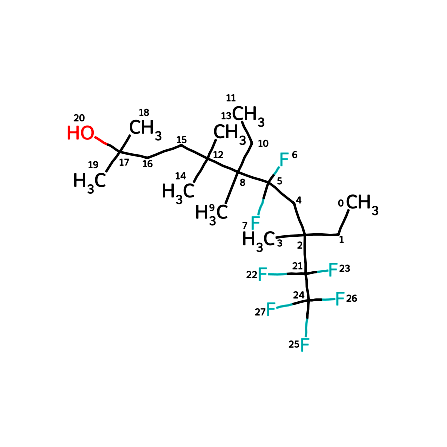 CCC(C)(CC(F)(F)C(C)(CC)C(C)(C)CCC(C)(C)O)C(F)(F)C(F)(F)F